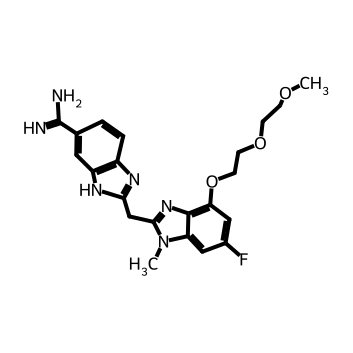 COCCOCCOc1cc(F)cc2c1nc(Cc1nc3ccc(C(=N)N)cc3[nH]1)n2C